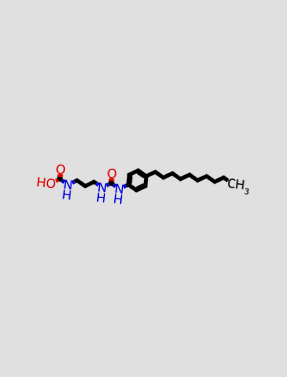 CCCCCCCCCCc1ccc(NC(=O)NCCCNC(=O)O)cc1